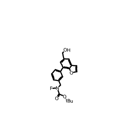 CC(C)(C)OC(=O)N(F)Cc1cccc(-c2cc(CO)cc3ccoc23)c1